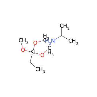 CC(C)N.CC[Si](OC)(OC)OC